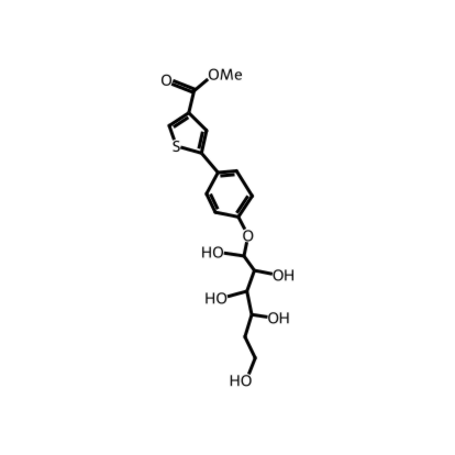 COC(=O)c1csc(-c2ccc(OC(O)C(O)C(O)C(O)CCO)cc2)c1